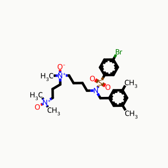 Cc1cc(C)cc(CN(CCCC[N+](C)([O-])CCC[N+](C)(C)[O-])S(=O)(=O)c2ccc(Br)cc2)c1